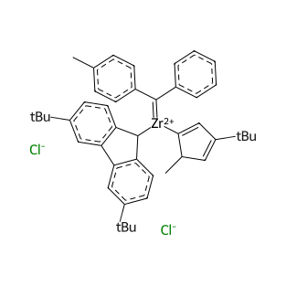 Cc1ccc(/[C](c2ccccc2)=[Zr+2](/[C]2=CC(C(C)(C)C)=CC2C)[CH]2c3ccc(C(C)(C)C)cc3-c3cc(C(C)(C)C)ccc32)cc1.[Cl-].[Cl-]